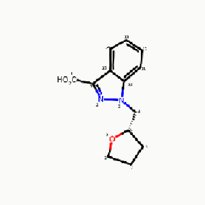 O=C(O)c1nn(C[C@@H]2CCCO2)c2ccccc12